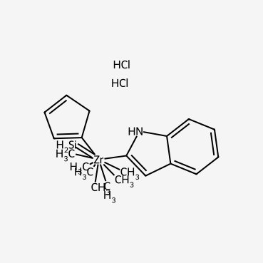 Cl.Cl.[CH3][Zr]([CH3])([CH3])([CH3])([CH3])([CH3])([CH3])(=[SiH2])([C]1=CC=CC1)[c]1cc2ccccc2[nH]1